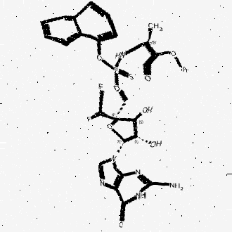 CC(C)OC(=O)[C@H](C)NP(=S)(OC[C@@]1(C(F)F)O[C@@H](n2cnc3c(=O)[nH]c(N)nc32)[C@@H](O)[C@@H]1O)Oc1cccc2ccccc12